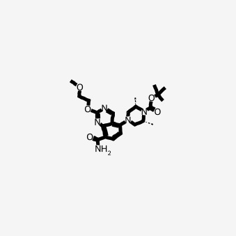 COCCOc1ncc2c(N3C[C@@H](C)N(C(=O)OC(C)(C)C)[C@@H](C)C3)ccc(C(N)=O)c2n1